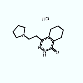 Cl.O=c1[nH]nc(CCN2CCCC2)c2c1CCCC2